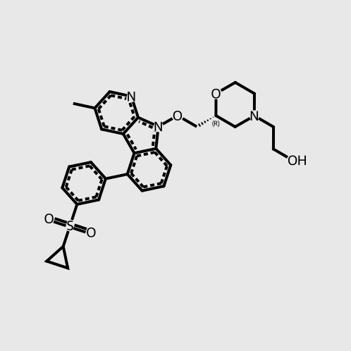 Cc1cnc2c(c1)c1c(-c3cccc(S(=O)(=O)C4CC4)c3)cccc1n2OC[C@H]1CN(CCO)CCO1